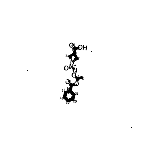 CC(ON=[N+]([O-])N1CC(C(=O)O)C1)OC(=O)c1ccccc1